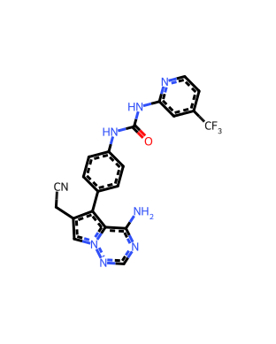 N#CCc1cn2ncnc(N)c2c1-c1ccc(NC(=O)Nc2cc(C(F)(F)F)ccn2)cc1